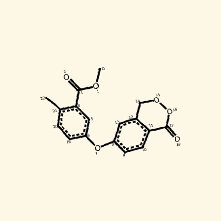 COC(=O)c1cc(Oc2ccc3c(c2)COOC3=O)ccc1C